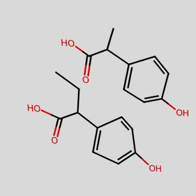 CC(C(=O)O)c1ccc(O)cc1.CCC(C(=O)O)c1ccc(O)cc1